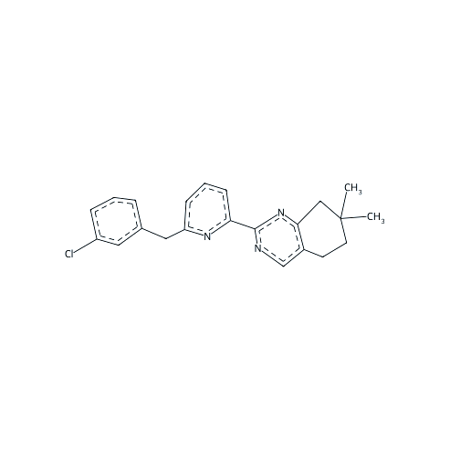 CC1(C)CCc2cnc(-c3cccc(Cc4cccc(Cl)c4)n3)nc2C1